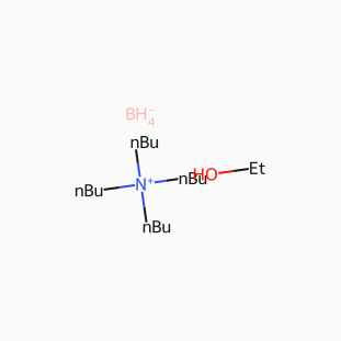 CCCC[N+](CCCC)(CCCC)CCCC.CCO.[BH4-]